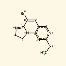 CSc1ncc2c(n1)N1CCN=C1C(Br)=C2